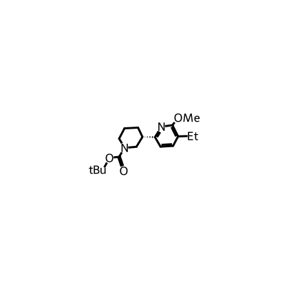 CCc1ccc([C@H]2CCCN(C(=O)OC(C)(C)C)C2)nc1OC